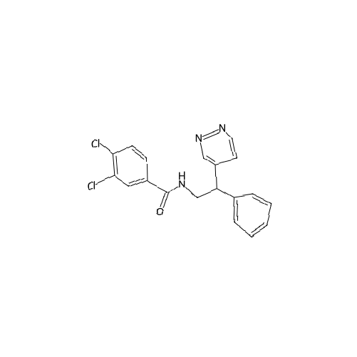 O=C(NCC(c1ccccc1)c1ccnnc1)c1ccc(Cl)c(Cl)c1